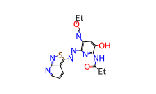 CCO/C=N/c1cc(O)c(NC(=O)CC)nc1/N=N/c1snc2ncccc12